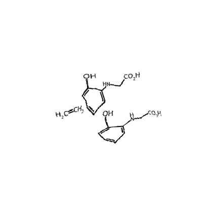 C=C.O=C(O)CNc1ccccc1O.O=C(O)CNc1ccccc1O